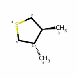 C[C@@H]1CSC[C@H]1C